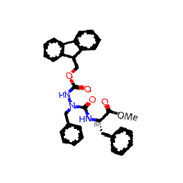 COC(=O)[C@H](Cc1ccccc1)NC(=O)N(Cc1ccccc1)NC(=O)OCC1c2ccccc2-c2ccccc21